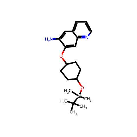 CC(C)(C)[Si](C)(C)OC1CCC(Oc2cc3ncccc3cc2N)CC1